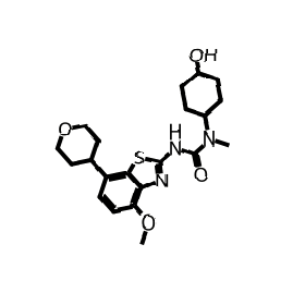 COc1ccc(C2CCOCC2)c2sc(NC(=O)N(C)C3CCC(O)CC3)nc12